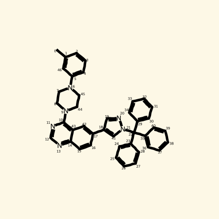 Cc1cccc(N2CCN(c3ncnc4ccc(-c5cnn(C(c6ccccc6)(c6ccccc6)c6ccccc6)c5)cc34)CC2)c1